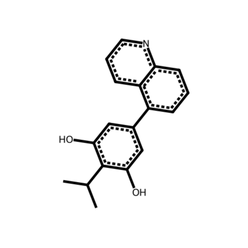 CC(C)c1c(O)cc(-c2cccc3ncccc23)cc1O